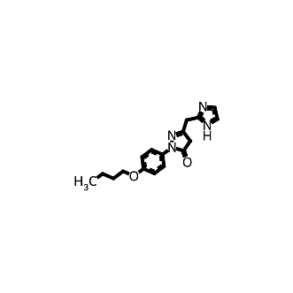 CCCCOc1ccc(N2N=C(Cc3ncc[nH]3)CC2=O)cc1